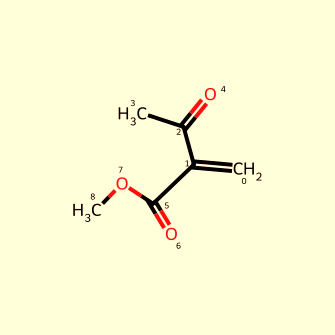 C=C(C(C)=O)C(=O)OC